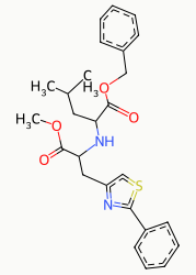 COC(=O)C(Cc1csc(-c2ccccc2)n1)NC(CC(C)C)C(=O)OCc1ccccc1